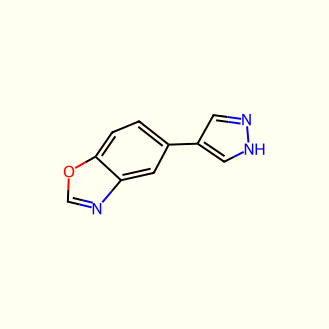 c1nc2cc(-c3cn[nH]c3)ccc2o1